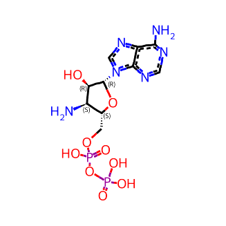 Nc1ncnc2c1ncn2[C@@H]1O[C@H](COP(=O)(O)OP(=O)(O)O)[C@@H](N)[C@H]1O